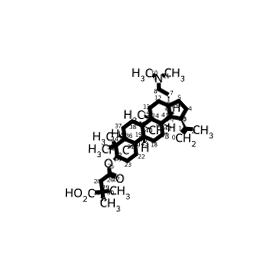 C=C(C)[C@@H]1CC[C@]2(CCN(C)C)CC[C@]3(C)[C@H](CC[C@@H]4[C@@]5(C)CC[C@H](OC(=O)CC(C)(C)C(=O)O)C(C)(C)[C@@H]5CC[C@]43C)[C@@H]12